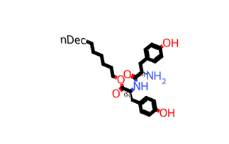 CCCCCCCCCCCCCCCCOC(=O)[C@H](Cc1ccc(O)cc1)NC(=O)[C@@H](N)Cc1ccc(O)cc1